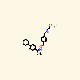 CC(=NOCc1ccc(CNCCC(=O)O)cc1)c1ccc(C2CCCCC2)c(C(F)(F)F)c1